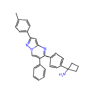 Cc1ccc(-c2cc3nc(-c4ccc(C5(N)CCC5)cc4)c(-c4ccccc4)cn3n2)cc1